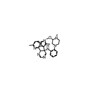 COC1CN(c2ccccc2NC2(c3scnc3C)C=NC=NC2c2nccc(C)n2)CCN1C